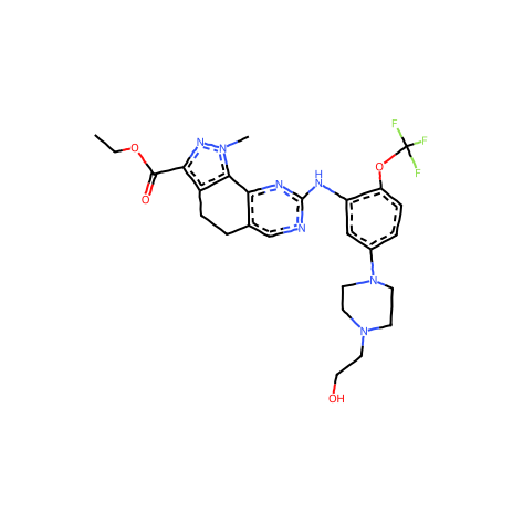 CCOC(=O)c1nn(C)c2c1CCc1cnc(Nc3cc(N4CCN(CCO)CC4)ccc3OC(F)(F)F)nc1-2